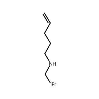 C=CCCCNCC(C)C